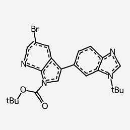 CC(C)(C)OC(=O)n1cc(-c2ccc3ncn(C(C)(C)C)c3c2)c2cc(Br)cnc21